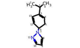 CC(C)C1=CCC(n2cccn2)C=C1